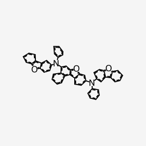 c1ccc(N(c2ccc3c(c2)oc2cc(N(c4ccccc4)c4ccc5oc6ccccc6c5c4)c4ccccc4c23)c2ccc3oc4ccccc4c3c2)cc1